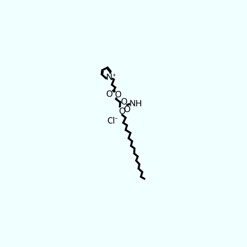 CCCCCCCCCCCCCCCCCCOCC(COC(=O)CCC[n+]1ccccc1)OC(=O)NC.[Cl-]